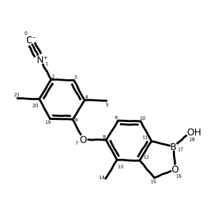 [C-]#[N+]c1cc(C)c(Oc2ccc3c(c2C)COB3O)cc1C